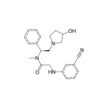 CN(C(=O)CNc1cccc(C#N)c1)[C@H](CN1CCC(O)C1)c1ccccc1